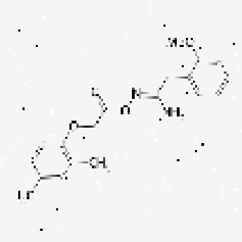 COc1ccccc1C/C(N)=N/OC(=O)COc1ccc(C)cc1C